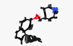 CC(=O)OC1CCCc2ccc(OCc3ccncc3)cc21